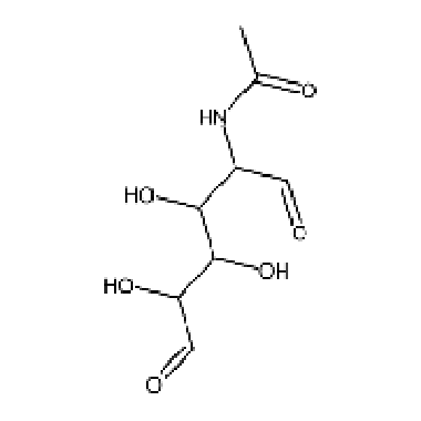 CC(=O)NC(C=O)C(O)C(O)C(O)C=O